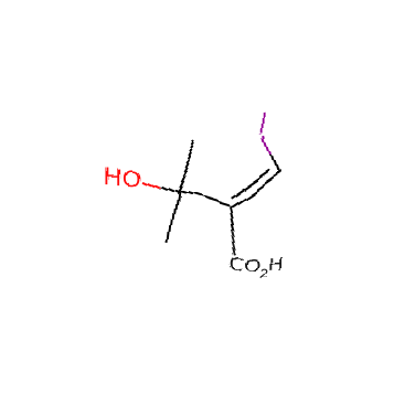 CC(C)(O)C(=CI)C(=O)O